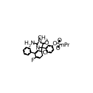 CCCS(=O)(=O)Oc1cccc(C2([C@]3(Cl)C=C(c4ccccc4)C(F)=CC3)N=C(N)N(C)C2=O)c1